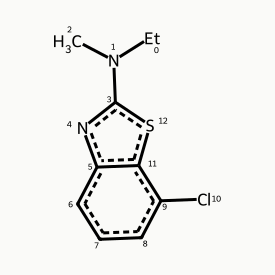 CCN(C)c1nc2cccc(Cl)c2s1